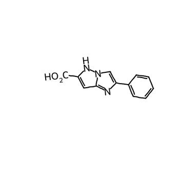 O=C(O)c1cc2nc(-c3ccccc3)cn2[nH]1